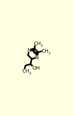 CCC(O)C1CN2CCN1C(C)=C2C